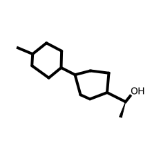 CC1CCC(C2CCC([C@H](C)O)CC2)CC1